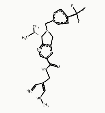 CN/C=C(\C=N)CNC(=O)c1cnc2c(c1)CN(Cc1ccc(C(F)(F)F)cc1)[C@H]2C(C)C